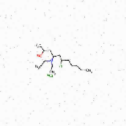 CCCCCC(Cl)CC(CC(C)O)N(CC)CC.Cl